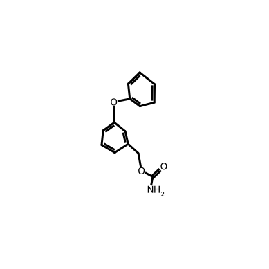 NC(=O)OCc1cccc(Oc2ccccc2)c1